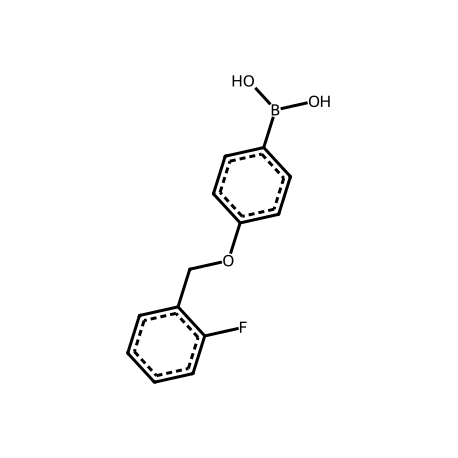 OB(O)c1ccc(OCc2ccccc2F)cc1